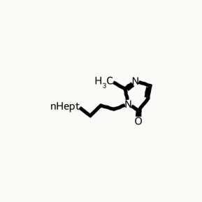 CCCCCCCCCCn1c(C)nccc1=O